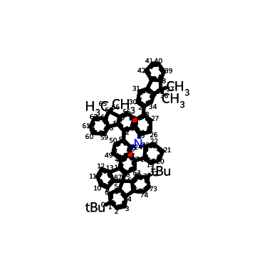 CC(C)(C)c1ccc2c(c1)C1(c3ccccc3-c3ccc(-c4ccccc4N(c4ccc(-c5ccc6c(c5)C(C)(C)c5ccccc5-6)cc4)c4ccccc4-c4cccc5c4-c4ccccc4C5(C)C)cc31)c1cc(C(C)(C)C)ccc1-2